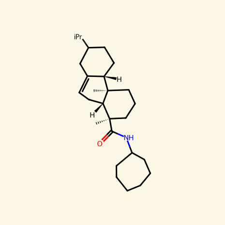 CC(C)C1CC[C@H]2C(=CC[C@@H]3[C@]2(C)CCC[C@@]3(C)C(=O)NC2CCCCCC2)C1